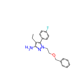 CCc1c(N)nn(CCOCc2ccccc2)c1-c1ccc(F)cc1